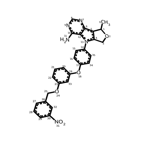 CC1OCc2c1c1ncnc(N)c1n2-c1ccc(Oc2cccc(OCc3cccc([N+](=O)[O-])c3)c2)cc1